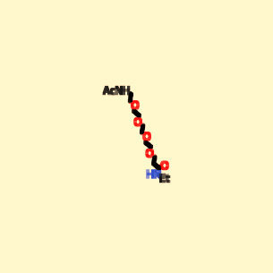 CCNC(=O)CCOCCOCCOCCOCCNC(C)=O